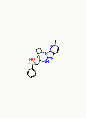 Cc1ccc2nc(NC(=O)C[C@](C)(O)c3ccccc3)n(C3CCC3)c2n1